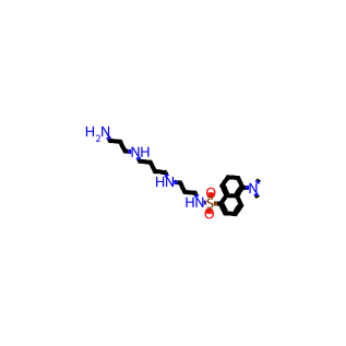 CN(C)C1=c2cccc(S(=O)(=O)NCCCNCCCCNCCCN)c2=CCC1